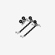 CCCCCCCCCCCCCCCC[N+](C)(C)Cc1ccccc1.CCCCCCCCCCCCCCCC[N+](C)(C)Cc1ccccc1.O=C([O-])c1ccccc1[S+]([O-])c1ccccc1C(=O)[O-]